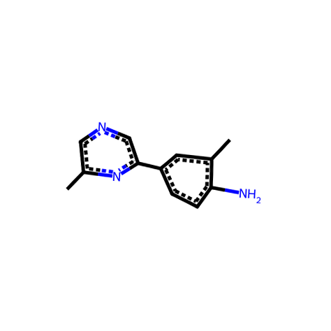 Cc1cncc(-c2ccc(N)c(C)c2)n1